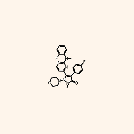 CN(c1nccc(-c2c(-c3ccc(F)cc3)c(=O)n(C)n2N2CCOCC2)n1)c1ccccc1F